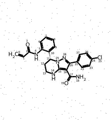 C=CC(=O)Nc1ccccc1[C@H]1CCNc2c(C(N)=O)c(-c3ccc(Cl)cc3)nn21